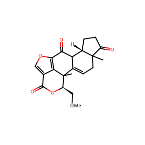 COC[C@H]1OC(=O)c2coc3c2C1(C)C1=CCC2(C)C(=O)CC[C@H]2C1C3=O